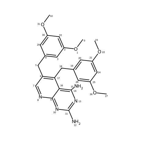 COc1cc(Cc2cnc3nc(N)nc(N)c3c2Cc2cc(OC)cc(OC)c2)cc(OC)c1